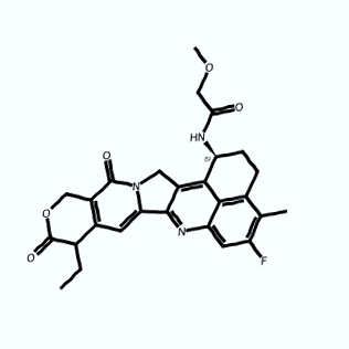 CCC1C(=O)OCc2c1cc1n(c2=O)Cc2c-1nc1cc(F)c(C)c3c1c2[C@@H](NC(=O)COC)CC3